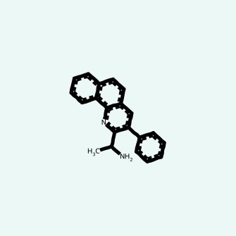 CC(N)c1nc2c(ccc3ccccc32)cc1-c1ccccc1